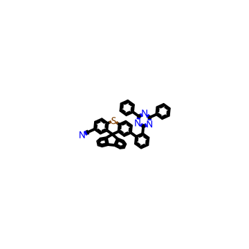 N#Cc1ccc2c(c1)C1(c3cc(-c4ccccc4-c4nc(-c5ccccc5)nc(-c5ccccc5)n4)ccc3S2)c2ccccc2-c2ccccc21